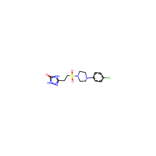 O=c1[nH]nc(CCS(=O)(=O)N2CCN(c3ccc(Cl)cc3)CC2)[nH]1